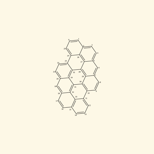 c1cc2ccc3cc4ccc5c6cccc7ccc8cc9ccc%10c(c1)c2c3c1c4c5c(c8c76)c9c%101